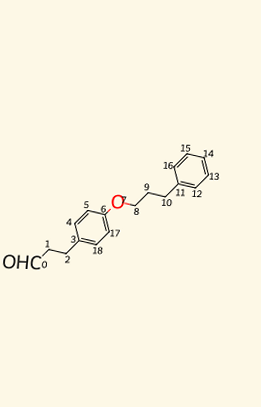 O=CCCc1ccc(OCCCc2ccccc2)cc1